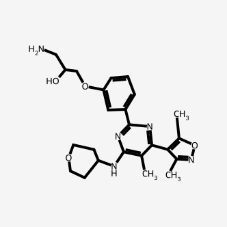 Cc1noc(C)c1-c1nc(-c2cccc(OCC(O)CN)c2)nc(NC2CCOCC2)c1C